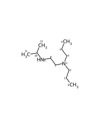 CCCN(CCC)CCNC(C)C